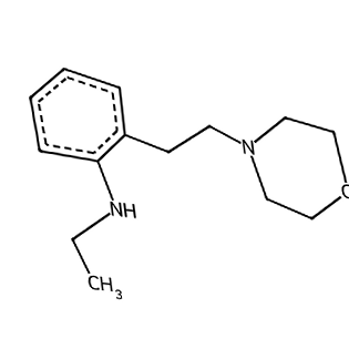 CCNc1ccccc1CCN1CCOCC1